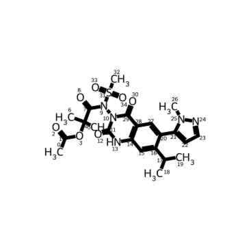 CC(=O)OC(C)(C)C(=O)N(n1c(=O)[nH]c2cc(C(C)C)c(-c3ccnn3C)cc2c1=O)S(C)(=O)=O